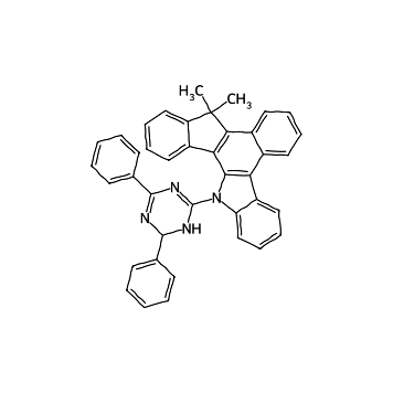 CC1(C)c2ccccc2-c2c1c1ccccc1c1c3ccccc3n(C3=NC(c4ccccc4)=NC(c4ccccc4)N3)c21